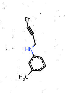 CCC#C[CH]Nc1cccc(C)c1